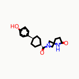 O=C1CCC2(CN(C(=O)[C@H]3CC[C@H](c4ccc(O)cc4)CC3)C2)N1